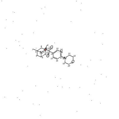 CC1(C)CC2CC(C)(C1)N2OS(=O)(=O)c1ccc(N2CCOCC2)nc1